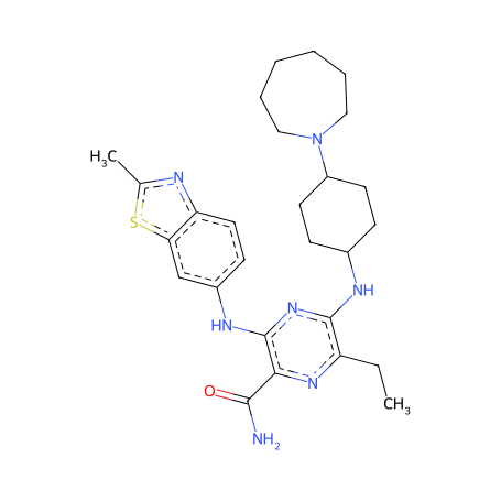 CCc1nc(C(N)=O)c(Nc2ccc3nc(C)sc3c2)nc1NC1CCC(N2CCCCCC2)CC1